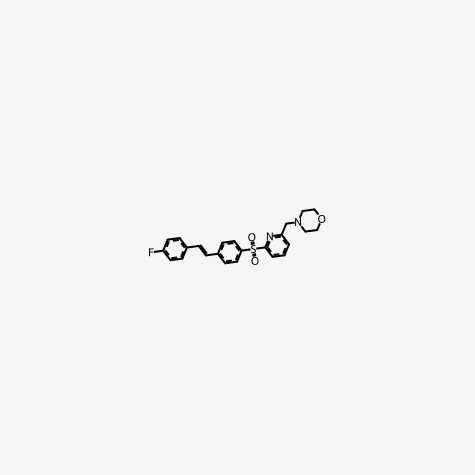 O=S(=O)(c1ccc(C=Cc2ccc(F)cc2)cc1)c1cccc(CN2CCOCC2)n1